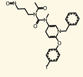 CC(=O)N(CCCN=O)C(=O)N(C)C1=CN(Cc2ccccc2)C(Oc2ccc(I)cc2)=CC1